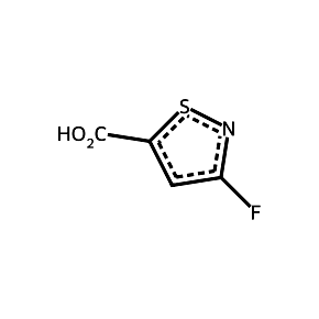 O=C(O)c1cc(F)ns1